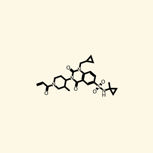 C=CC(=O)N1CCC(n2c(=O)c3cc(S(=O)(=O)NC4(C)CC4)ccc3n(CC3CC3)c2=O)C(C)C1